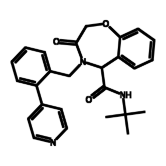 CC(C)(C)NC(=O)C1c2ccccc2OCC(=O)N1Cc1ccccc1-c1ccncc1